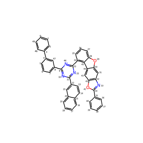 c1ccc(-c2cccc(-c3nc(-c4ccc5ccccc5c4)nc(-c4cccc5oc6cc7nc(-c8ccccc8)oc7cc6c45)n3)c2)cc1